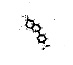 CN(C)c1ccc(-c2ccc3c(n2)CCC(O)=C3)cc1